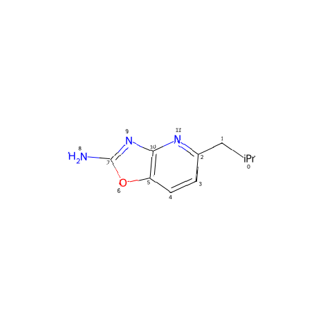 CC(C)Cc1ccc2oc(N)nc2n1